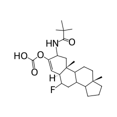 CC(C)(C)C(=O)NC1C[C@]2(C)C3CC[C@]4(C)CCCC4C3CC(F)[C@H]2C=C1OC(=O)O